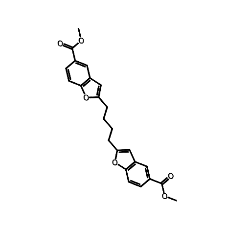 COC(=O)c1ccc2oc(CCCCc3cc4cc(C(=O)OC)ccc4o3)cc2c1